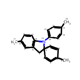 CC1=C=CC2(C=C1)Cc1cc(C)ccc1N2c1ccc(C)cc1